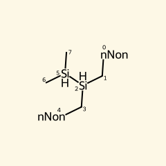 CCCCCCCCCC[SiH](CCCCCCCCCC)[SiH](C)C